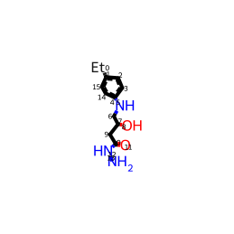 CCc1ccc(NCC(O)CC(=O)NN)cc1